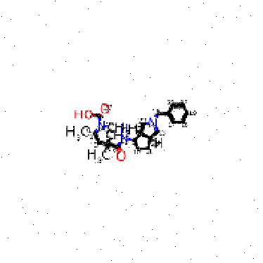 C[C@@H](CC(C)(C)C(=O)N[C@@H]1CC[C@H]2CN(Cc3ccccc3)C[C@H]21)N(C)C(=O)O